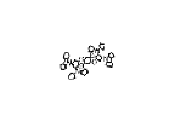 c1ccc(N2c3ccccc3B3c4cc5c(cc4Oc4cc(-n6c7ccccc7c7ccccc76)cc2c43)B2c3ccccc3N(c3ccccc3)c3cc(-n4c6ccccc6c6ccccc64)cc(c32)O5)cc1